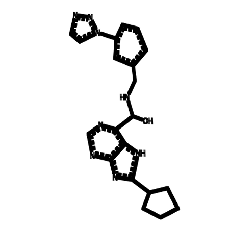 OC(NCc1cccc(-n2ccnn2)c1)c1ncnc2nc(C3CCCC3)[nH]c12